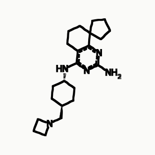 Nc1nc(N[C@H]2CC[C@H](CN3CCC3)CC2)c2c(n1)C1(CCCC1)CCC2